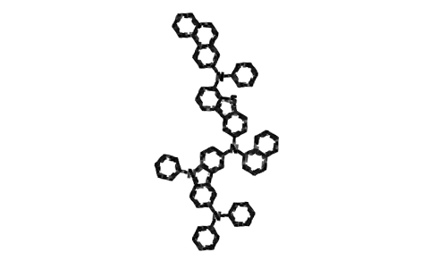 c1ccc(N(c2ccccc2)c2ccc3c(c2)c2cc(N(c4ccc5sc6c(N(c7ccccc7)c7ccc8c(ccc9ccccc98)c7)cccc6c5c4)c4cccc5ccccc45)ccc2n3-c2ccccc2)cc1